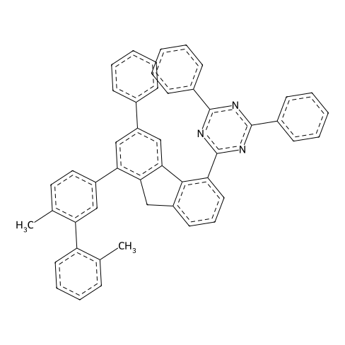 Cc1ccccc1-c1cc(-c2cc(-c3ccccc3)cc3c2Cc2cccc(-c4nc(-c5ccccc5)nc(-c5ccccc5)n4)c2-3)ccc1C